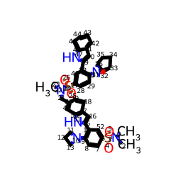 CN(C)S(=O)(=O)c1ccc(N2CCC2)c(-c2cc3ccc(CN(C)S(=O)(=O)c4ccc(N5CC6CCC5C6)c(-c5cc6ccccc6[nH]5)c4)cc3[nH]2)c1